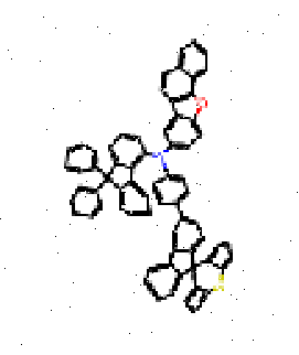 c1ccc(C2(c3ccccc3)c3ccccc3-c3c(N(c4ccc(-c5ccc6c(c5)-c5ccccc5C65c6ccccc6Sc6ccccc65)cc4)c4ccc5oc6c7ccccc7ccc6c5c4)cccc32)cc1